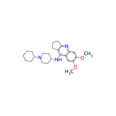 COc1cc2nc3c(c(NC4CCN(C5CCCCC5)CC4)c2cc1OC)CCC3